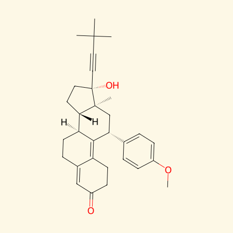 COc1ccc([C@H]2C[C@@]3(C)[C@@H](CC[C@@]3(O)C#CC(C)(C)C)[C@@H]3CCC4=CC(=O)CCC4=C32)cc1